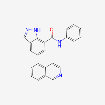 O=C(Nc1ccccc1)c1cc(-c2cccc3cnccc23)cc2cn[nH]c12